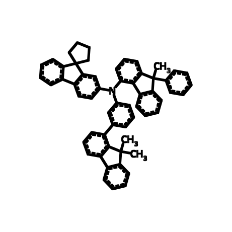 CC1(C)c2ccccc2-c2cccc(-c3cccc(N(c4ccc5c(c4)C4(CCCC4)c4ccccc4-5)c4cccc5c4-c4ccccc4C5(C)c4ccccc4)c3)c21